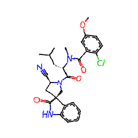 COc1ccc(Cl)c(C(=O)N(C)[C@@H](CC(C)C)C(=O)N2C[C@]3(C[C@H]2C#N)C(=O)Nc2ccccc23)c1